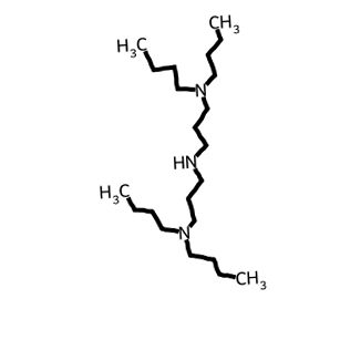 CCCCN(CCCC)CCCNCCCN(CCCC)CCCC